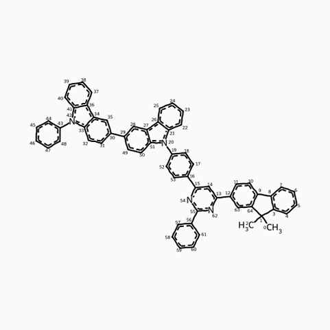 CC1(C)c2ccccc2-c2ccc(-c3cc(-c4ccc(-n5c6ccccc6c6cc(-c7ccc8c(c7)c7ccccc7n8-c7ccccc7)ccc65)cc4)nc(-c4ccccc4)n3)cc21